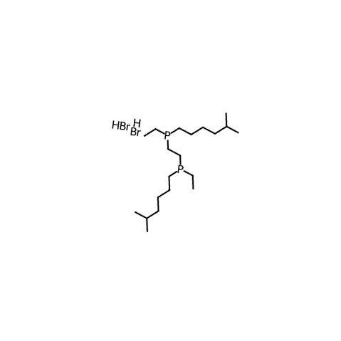 Br.Br.CCP(CCCCC(C)C)CCP(CC)CCCCC(C)C